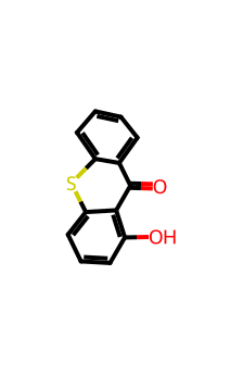 O=c1c2ccccc2sc2cccc(O)c12